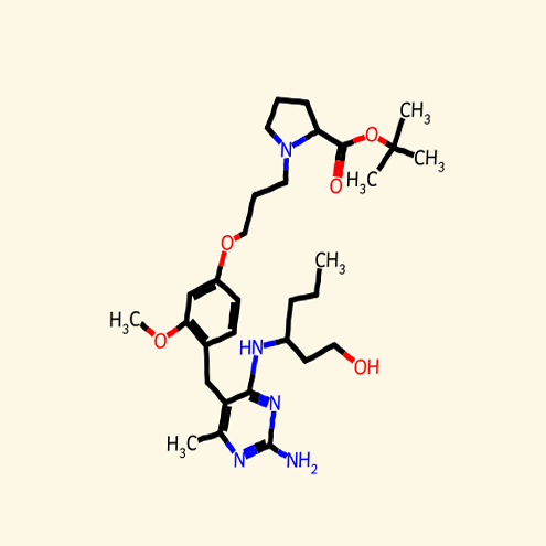 CCCC(CCO)Nc1nc(N)nc(C)c1Cc1ccc(OCCCN2CCCC2C(=O)OC(C)(C)C)cc1OC